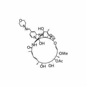 CO[C@H]1/C=C/O[C@@]2(C)Oc3c(C)c(O)c4c(O)c(c5c(c4c3C2=O)NC2C=C(/C=N/N3CCOCC3)C=CN52)NC(=O)/C(C)=C\C=C\[C@H](C)[C@H](O)[C@@H](C)[C@@H](O)[C@@H](C)[C@H](OC(C)=O)[C@@H]1C